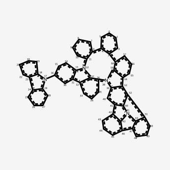 c1ccc2c(c1)c1ccccc1n1c3ccc(-n4c5ccccc5c5ccccc54)cc3c3cccc(c31)n1c3cc4c5cccc6c7cccc8c(c3c3cccc2c31)c4n(c65)c78